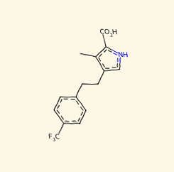 Cc1c(CCc2ccc(C(F)(F)F)cc2)c[nH]c1C(=O)O